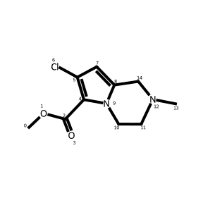 COC(=O)c1c(Cl)cc2n1CCN(C)C2